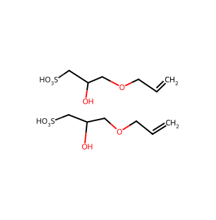 C=CCOCC(O)CS(=O)(=O)O.C=CCOCC(O)CS(=O)(=O)O